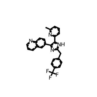 Cc1cccc(-c2[nH]c(Cc3ccc(C(F)(F)F)cc3)nc2-c2ccc3ncccc3c2)n1